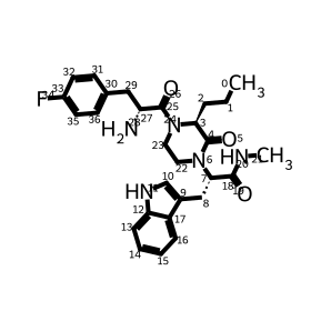 CCC[C@H]1C(=O)N([C@@H](Cc2c[nH]c3ccccc23)C(=O)NC)CCN1C(=O)[C@H](N)Cc1ccc(F)cc1